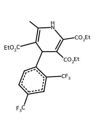 CCOC(=O)C1=C(C(=O)OCC)C(c2ccc(C(F)(F)F)cc2C(F)(F)F)C(C(=O)OCC)=C(C)N1